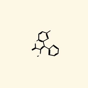 COc1c(-c2ccccc2)c2cc(C)ccc2[nH]c1=O